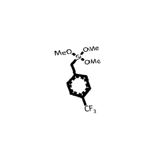 CO[Si](Cc1ccc(C(F)(F)F)cc1)(OC)OC